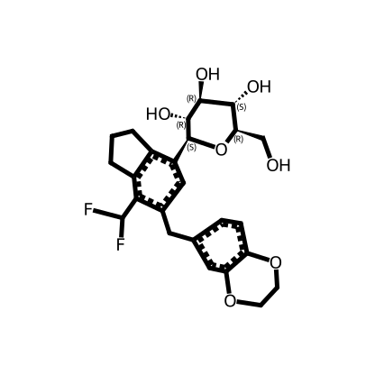 OC[C@H]1O[C@@H](c2cc(Cc3ccc4c(c3)OCCO4)c(C(F)F)c3c2CCC3)[C@H](O)[C@@H](O)[C@@H]1O